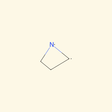 [CH]1CC[N]1